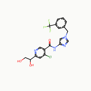 O=C(Nc1cn(Cc2cccc(C(F)(F)F)c2)cn1)c1cnc(C(O)CO)cc1Cl